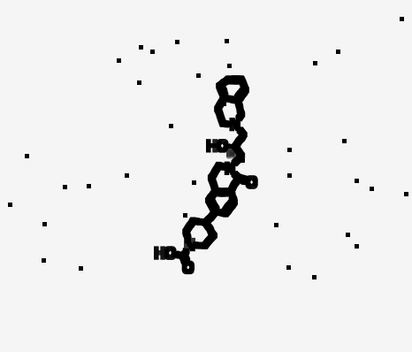 O=C(O)N1CCC(c2ccc3c(c2)CCN(C[C@H](O)CN2CCc4ccccc4C2)C3=O)CC1